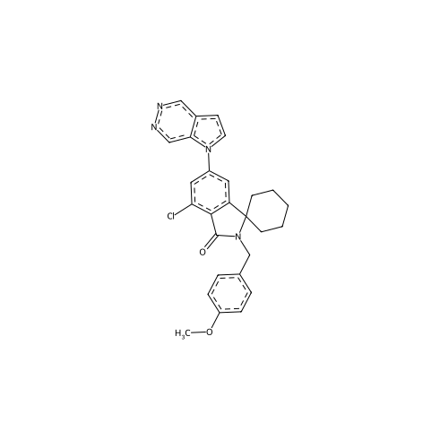 COc1ccc(CN2C(=O)c3c(Cl)cc(-n4ccc5cnncc54)cc3C23CCCCC3)cc1